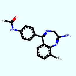 CCC(=O)Nc1ccc(C2=NCC(N)=Nc3c2cccc3C(F)(F)F)cc1